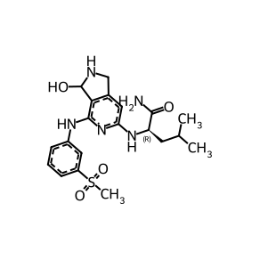 CC(C)C[C@@H](Nc1cc2c(c(Nc3cccc(S(C)(=O)=O)c3)n1)C(O)NC2)C(N)=O